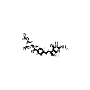 Nc1nc2[nH]cc(CCc3ccc(C(=O)N[C@@H](CCOC=O)OC=O)cc3)c2c(=O)[nH]1